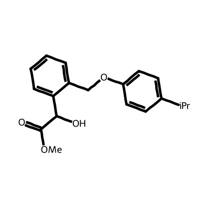 COC(=O)C(O)c1ccccc1COc1ccc(C(C)C)cc1